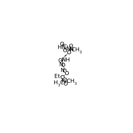 CCc1cc(-c2cccc3cc(-c4ccc(C(=O)NCC#Cc5ccc6c(c5)n(C5CCC(=O)NC5=O)c(=O)n6C)nc4)ncc23)c2cc(C)c(=O)n(C)c2c1